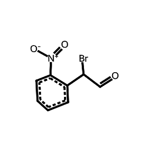 O=CC(Br)c1ccccc1[N+](=O)[O-]